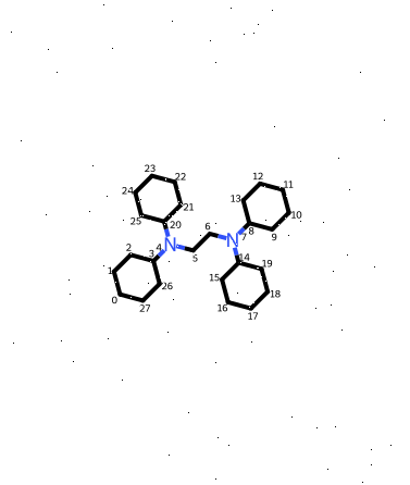 C1CCC(N(CCN(C2CCCCC2)C2CCCCC2)C2CCCCC2)CC1